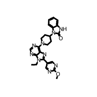 CCn1c(-c2cnc(OC)nc2)nc2c(N3CCC(n4c(=O)[nH]c5ccccc54)CC3)ncnc21